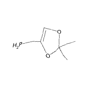 CC1(C)OC=C(P)O1